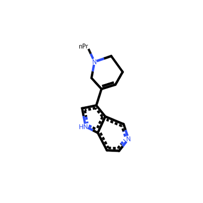 CCCN1CCC=C(c2c[nH]c3ccncc23)C1